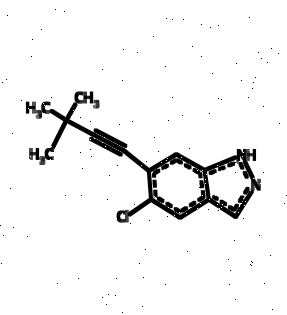 CC(C)(C)C#Cc1cc2[nH]ncc2cc1Cl